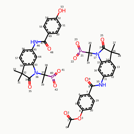 CC(=O)Oc1ccc(C(=O)Nc2ccc3c(c2)N(C(C)(C)P(=O)=O)C(=O)C3(C)C)cc1.CC1(C)C(=O)N(C(C)(C)P(=O)=O)c2cc(NC(=O)c3ccc(O)cc3)ccc21